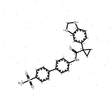 NS(=O)(=O)c1ccc(-c2ccc(NC(=O)C3(c4ccc5c(c4)OCO5)CC3)cc2)cc1